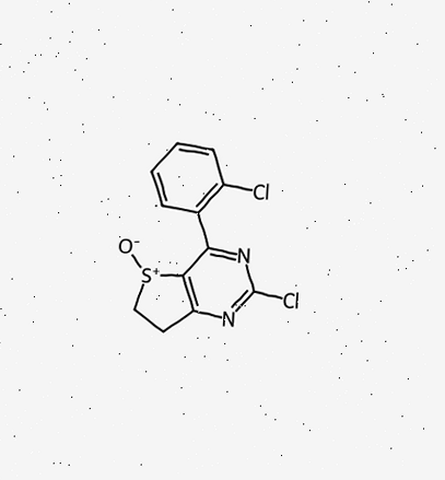 [O-][S+]1CCc2nc(Cl)nc(-c3[c]cccc3Cl)c21